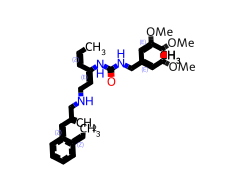 C=C(/C=c1/cccc/c1=C/C)CNC/C=C(\C=C/C)NC(=O)NCC(=C/C(C)OC)/C=C(/OC)C(C)OC